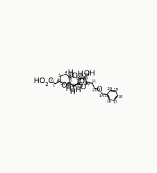 O=C(O)C[C@H]1CC[C@@H]2O[C@@H]3[C@H]4O[C@](CCOCc5ccccc5)(O[C@H]4[C@H]2O1)[C@H]3O